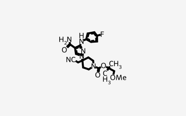 COCC(C)(C)OC(=O)N1CCC(CC#N)(n2cc(C(N)=O)c(Nc3ccc(F)cc3)n2)CC1